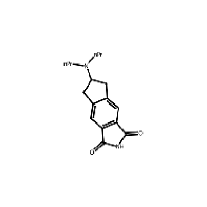 CCCN(CCC)C1Cc2cc3c(cc2C1)C(=O)NC3=O